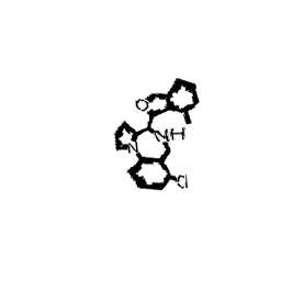 Cc1cccc2coc(C3NCc4c(Cl)cccc4-n4cccc43)c12